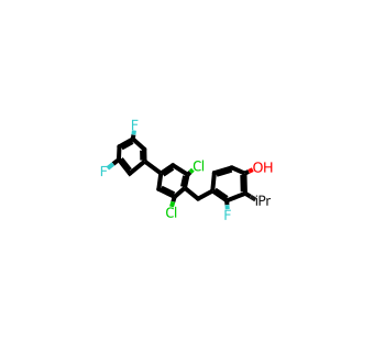 CC(C)c1c(O)ccc(Cc2c(Cl)cc(-c3cc(F)cc(F)c3)cc2Cl)c1F